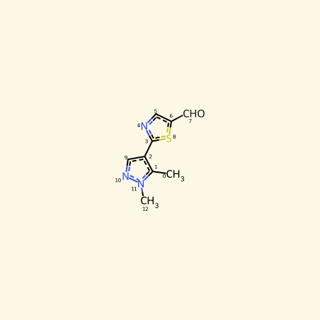 Cc1c(-c2ncc(C=O)s2)cnn1C